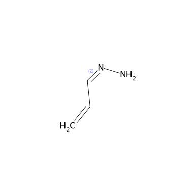 C=C/C=N\N